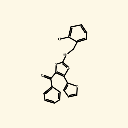 O=C(c1ccccc1)c1sc(NCc2ccccc2Cl)nc1-c1ccco1